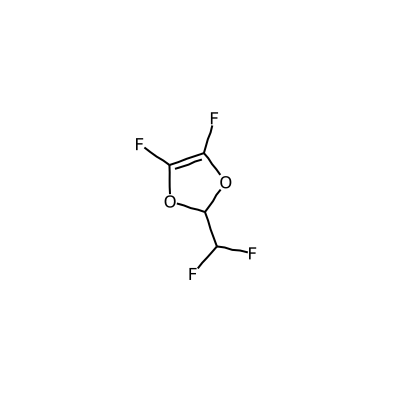 FC1=C(F)OC(C(F)F)O1